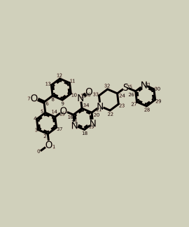 COc1ccc(C(=O)c2ccccc2)c(Oc2ncnc(N3CCC(Sc4ccccn4)CC3)c2N=O)c1